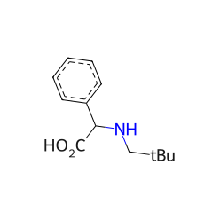 CC(C)(C)CNC(C(=O)O)c1ccccc1